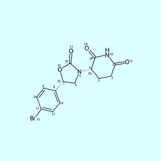 O=C1CC[C@H](N2C[C@H](c3ccc(Br)cc3)OC2=O)C(=O)N1